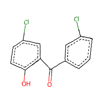 O=C(c1cccc(Cl)c1)c1cc(Cl)ccc1O